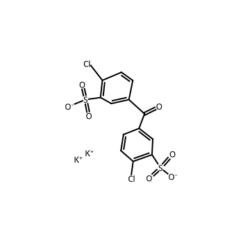 O=C(c1ccc(Cl)c(S(=O)(=O)[O-])c1)c1ccc(Cl)c(S(=O)(=O)[O-])c1.[K+].[K+]